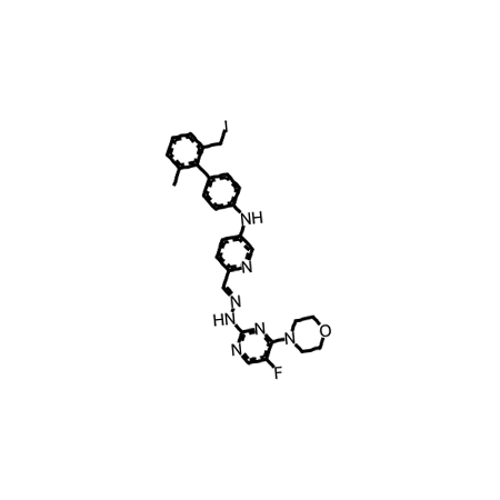 Cc1cccc(CI)c1-c1ccc(Nc2ccc(/C=N/Nc3ncc(F)c(N4CCOCC4)n3)nc2)cc1